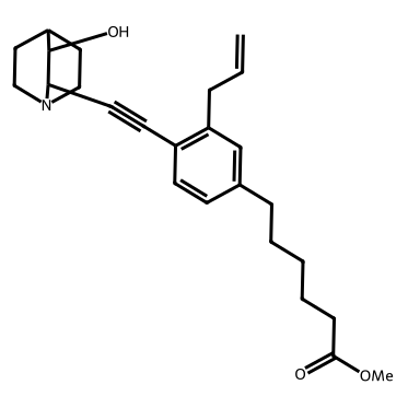 C=CCc1cc(CCCCCC(=O)OC)ccc1C#CC1C(O)C2CCN1CC2